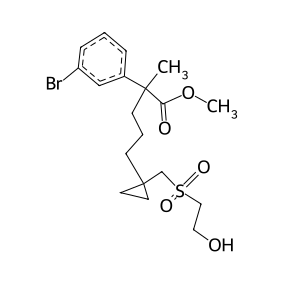 COC(=O)C(C)(CCCC1(CS(=O)(=O)CCO)CC1)c1cccc(Br)c1